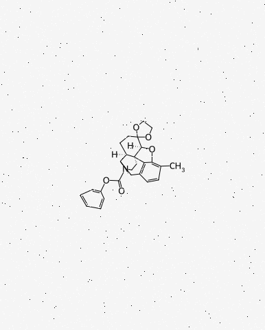 Cc1ccc2c3c1O[C@@H]1C4(CC[C@@H]5C(C2)N(C(=O)Oc2ccccc2)CC[C@]351)OCCO4